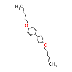 CC=CC=CCOc1ccc(-c2ccc(OCCCCCC)cc2)cc1